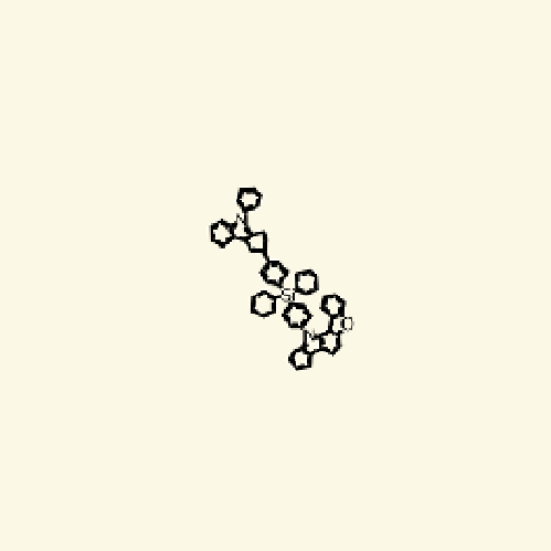 C1=C(c2ccc([Si](c3ccccc3)(c3ccccc3)c3ccc(-n4c5ccccc5c5ccc6oc7ccccc7c6c54)cc3)cc2)CCc2c1c1ccccc1n2-c1ccccc1